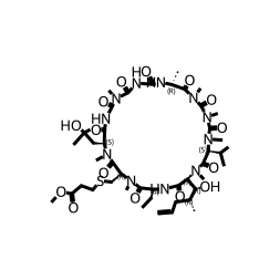 C=CC[C@@H](C)[C@@H](O)[C@H]1C(=O)N[C@@H](CC)C(=O)N(C)[C@@H](CSCCC(=O)OC)C(=O)N(C)[C@@H](CC(C)(C)O)C(=O)NC(=O)N(C)C(=O)NC(=O)N[C@H](C)C(=O)N(C)C(=O)N(C)C(=O)N(C)[C@@H](C(C)C)C(=O)N1C